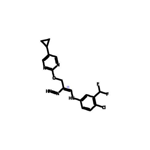 N=N/C(=C\Nc1ccc(Cl)c(C(F)F)c1)COc1ncc(C2CC2)cn1